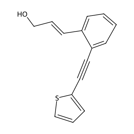 OCC=Cc1ccccc1C#Cc1cccs1